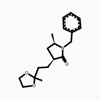 C[C@@H]1C[C@H](CCC2(C)OCCO2)C(=O)N1Cc1ccccc1